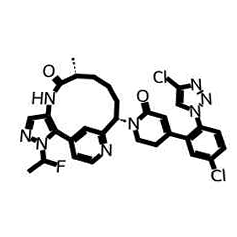 CC(F)n1ncc2c1-c1ccnc(c1)[C@@H](N1CCC(c3cc(Cl)ccc3-n3cc(Cl)nn3)=CC1=O)CCC[C@@H](C)C(=O)N2